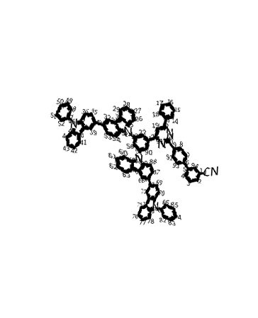 N#Cc1cccc(-c2ccc(-c3nc(-c4ccccc4)cc(-c4cc(-n5c6ccccc6c6cc(-c7ccc8c(c7)c7ccccc7n8-c7ccccc7)ccc65)cc(-n5c6ccccc6c6cc(-c7ccc8c(c7)c7ccccc7n8-c7ccccc7)ccc65)c4)n3)cc2)c1